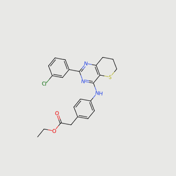 CCOC(=O)Cc1ccc(Nc2nc(-c3cccc(Cl)c3)nc3c2SCCC3)cc1